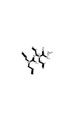 C=CCN(CC=C)C(=S)[S-].C=CCN(CC=C)C(=S)[S-].[Zn+2]